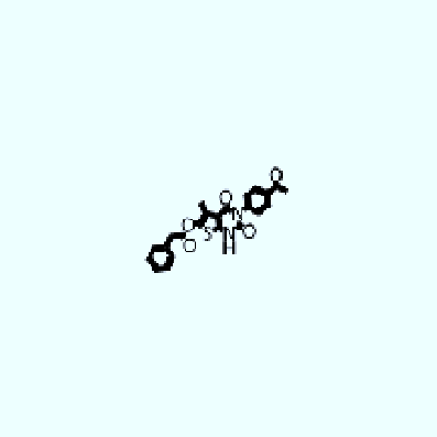 CC(=O)c1ccc(-n2c(=O)[nH]c3sc(OC(=O)Cc4ccccc4)c(C)c3c2=O)cc1